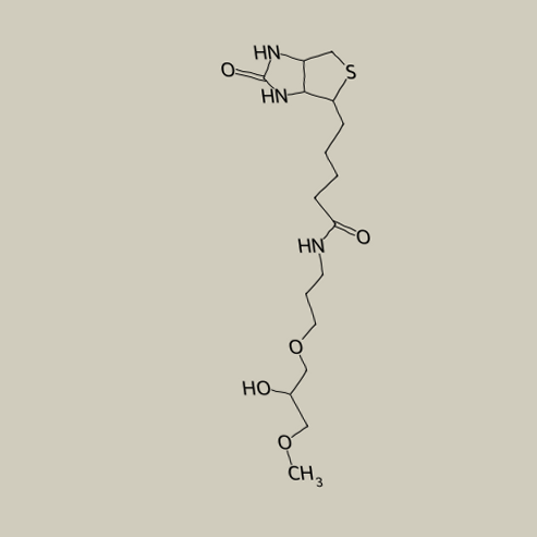 COCC(O)COCCCNC(=O)CCCCC1SCC2NC(=O)NC21